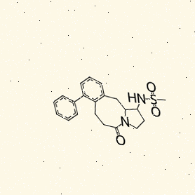 CS(=O)(=O)NC1CCN2C(=O)CCc3c(cccc3-c3ccccc3)CC12